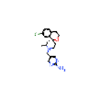 C[C@H]1C[C@@]2(CCN1Cc1cnc(N)nc1)OCCc1ccc(Cl)cc12